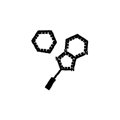 C#Cc1nc2ncccn2n1.c1ccccc1